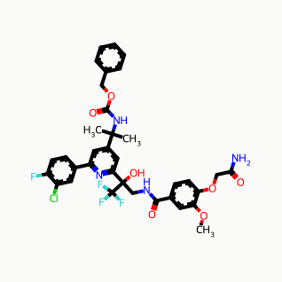 COc1cc(C(=O)NCC(O)(c2cc(C(C)(C)NC(=O)OCc3ccccc3)cc(-c3ccc(F)c(Cl)c3)n2)C(F)(F)F)ccc1OCC(N)=O